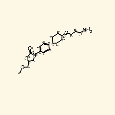 COCC1CN(c2ccc([C@H]3CC[C@H](OCCCN)CC3)cc2)C(=O)O1